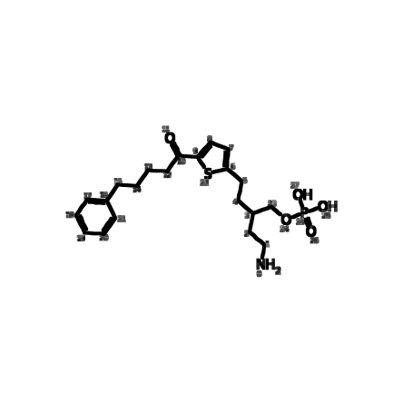 NCCC(CCc1ccc(C(=O)CCCCc2ccccc2)s1)COP(=O)(O)O